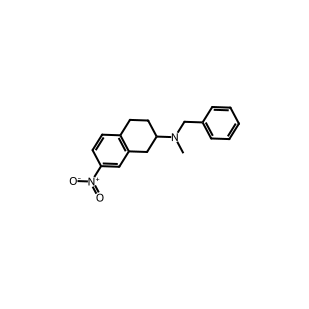 CN(Cc1ccccc1)C1CCc2ccc([N+](=O)[O-])cc2C1